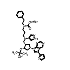 CC(C)(C)OC(=O)N(CCCN(C[C@H]1C[C@@H](n2cc(-c3cccs3)c3cncnc32)C[C@@H]1OC(C)(C)O)c1cn[nH]c1)CCc1ccccc1